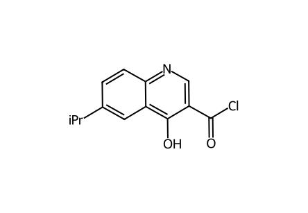 CC(C)c1ccc2ncc(C(=O)Cl)c(O)c2c1